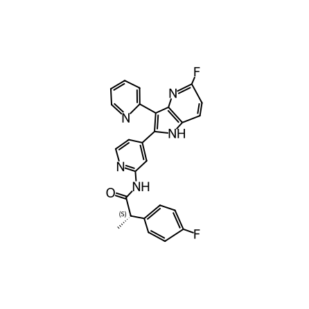 C[C@H](C(=O)Nc1cc(-c2[nH]c3ccc(F)nc3c2-c2ccccn2)ccn1)c1ccc(F)cc1